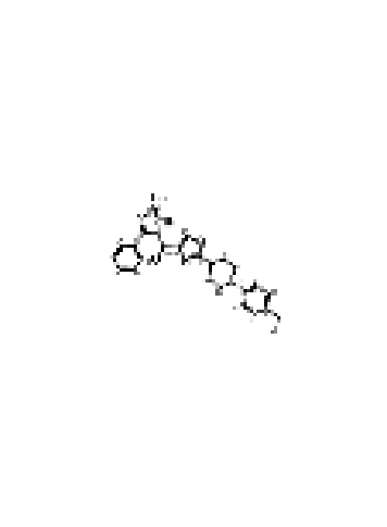 CCc1cnc(N2CCC(c3nc(C(Oc4ccccc4)N4C=NN(F)N4)co3)CC2)nc1